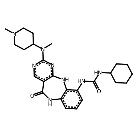 CN1CCC(N(C)c2ncc3c(n2)Nc2c(NC(=O)NC4CCCCC4)cccc2NC3=O)CC1